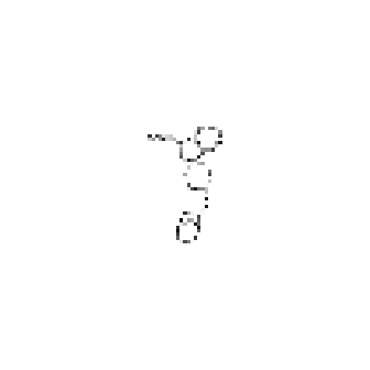 CC(=O)NC1CC2(CCN(CC3CC4C=CC3C4)CC2)c2ccccc21